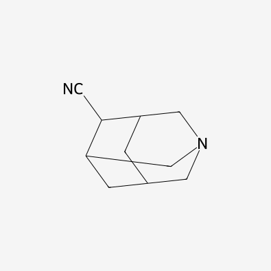 N#CC1C2CC3CC1CN(C3)C2